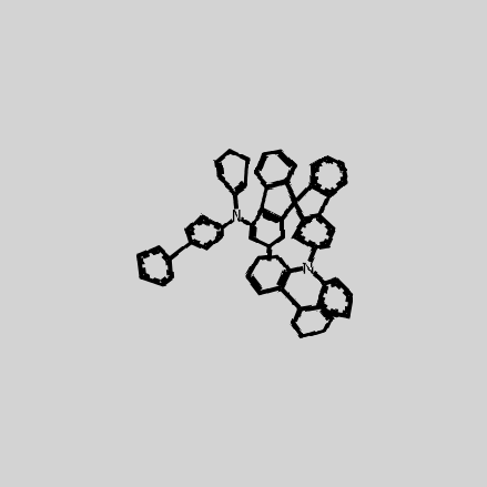 CC1C=C(N(C2=CCCC=C2)c2ccc(-c3ccccc3)cc2)C2=C(C1)C1(c3ccccc3-c3ccc(N(C4=C(C5C=CCCC5)C=CCC4)c4ccccc4)cc31)C1C=CC=CC21